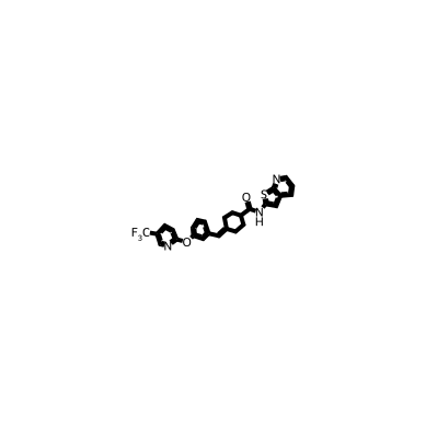 O=C(Nc1cc2cccnc2s1)C1CCC(=Cc2cccc(Oc3ccc(C(F)(F)F)cn3)c2)CC1